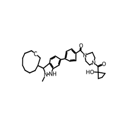 CN1Nc2cc(-c3ccc(C(=O)N4CCN(C(=O)C5(O)CCC5)CC4)cc3)ccc2C1C1CCCCCCCCC1